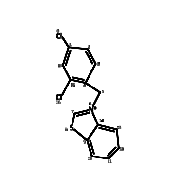 Clc1ccc(C[n+]2csc3ccccc32)c(Cl)c1